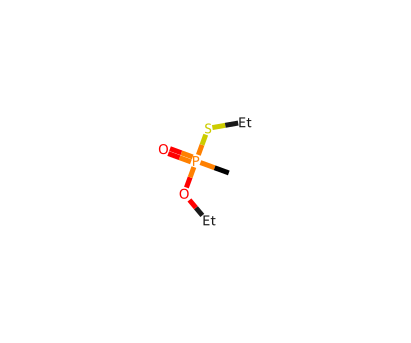 CCOP(C)(=O)SCC